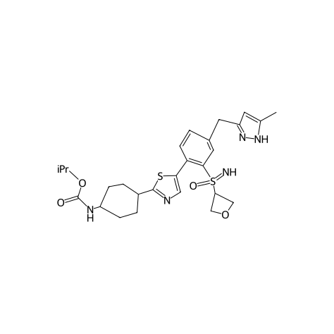 Cc1cc(Cc2ccc(-c3cnc(C4CCC(NC(=O)OC(C)C)CC4)s3)c(S(=N)(=O)C3COC3)c2)n[nH]1